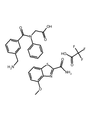 COc1cccc2sc(C(N)=O)nc12.NCc1cccc(C(=O)N(CC(=O)O)c2ccccc2)c1.O=C(O)C(F)(F)F